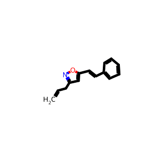 C=CCc1cc(C=Cc2ccccc2)on1